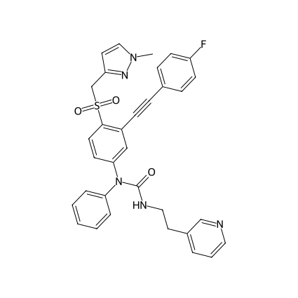 Cn1ccc(CS(=O)(=O)c2ccc(N(C(=O)NCCc3cccnc3)c3ccccc3)cc2C#Cc2ccc(F)cc2)n1